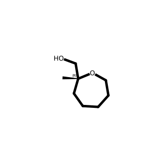 C[C@]1(CO)CCCCCO1